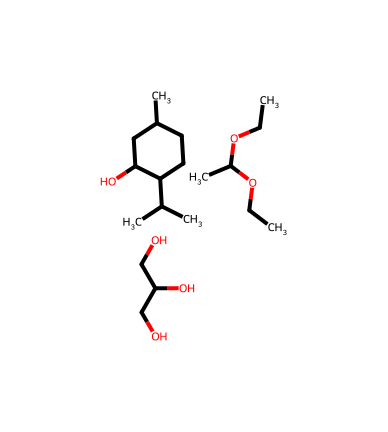 CC1CCC(C(C)C)C(O)C1.CCOC(C)OCC.OCC(O)CO